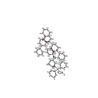 CC1(c2ccccc2)c2ccccc2-c2c(N(c3ccc(-c4ccccc4-c4ccccc4)cc3)c3ccccc3-c3ccc(-c4ccc5ccccc5c4)cc3)cccc21